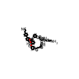 N#CCCc1ccc(-c2ccc(C[C@@H]3NC(=O)[C@]4(Cc5ccccc5)CCCN(C4)C(=O)/C=C/C(=O)NCC[C@@H](C(=N)NCCOCCN)NC(=O)Cc4ccccc4CNC3=O)cc2)cc1